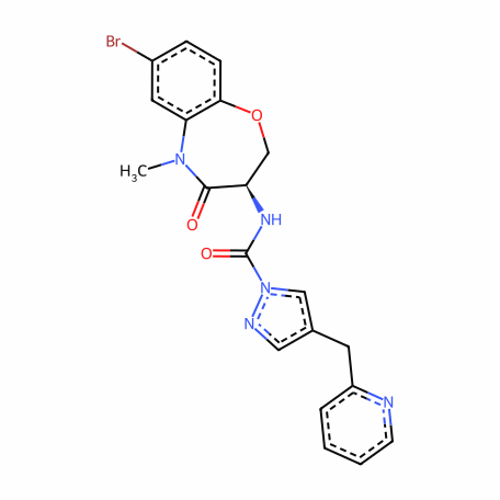 CN1C(=O)[C@H](NC(=O)n2cc(Cc3ccccn3)cn2)COc2ccc(Br)cc21